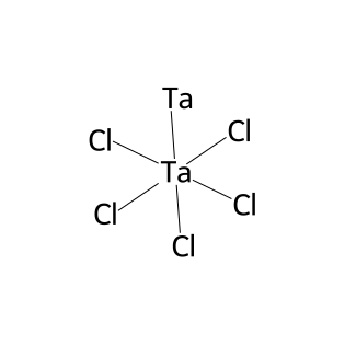 [Cl][Ta]([Cl])([Cl])([Cl])([Cl])[Ta]